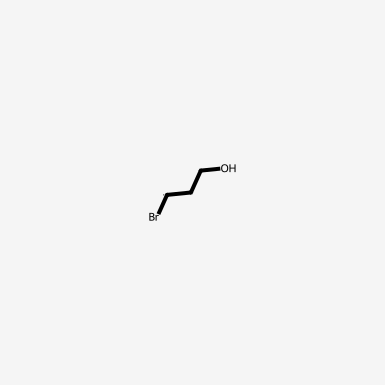 OCC[CH]Br